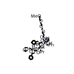 COCCOCCOCCOCCC(=O)N/N=C(/[C@H](CC(C)C)NC(=O)[C@H](Cc1ccccc1)NC(=O)[C@H](CC(C)C)NC(=O)[C@H](CCc1ccccc1)NC(=O)CN1CCOCC1)[C@@]1(C)CO1